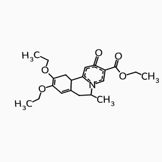 CCOC(=O)c1cn2c(cc1=O)C1CC(OCC)=C(OCC)C=C1CC2C